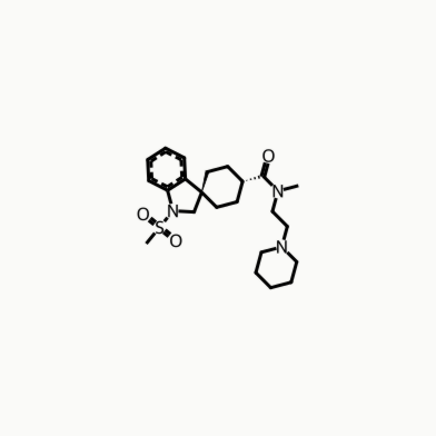 CN(CCN1CCCCC1)C(=O)[C@H]1CC[C@@]2(CC1)CN(S(C)(=O)=O)c1ccccc12